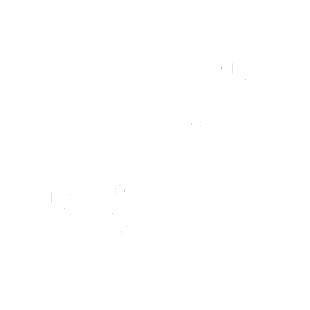 C=CC(=O)Oc1ccc(C2(c3ccc(OC(=O)C=C)cc3)CCCC2)cc1